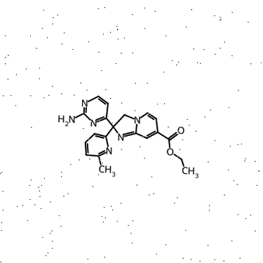 CCOC(=O)C1=CC2=NC(c3cccc(C)n3)(c3ccnc(N)n3)CN2C=C1